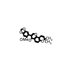 COc1cc2c(cc1-c1coc3c4c(ccc3c1=O)OC(C)(C)C=C4)OCO2